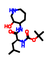 CC(C)C[C@H](NC(=O)OC(C)(C)C)C(=O)NC1CCCNC[C@@H]1O